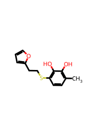 Cc1ccc(SCCc2ccco2)c(O)c1O